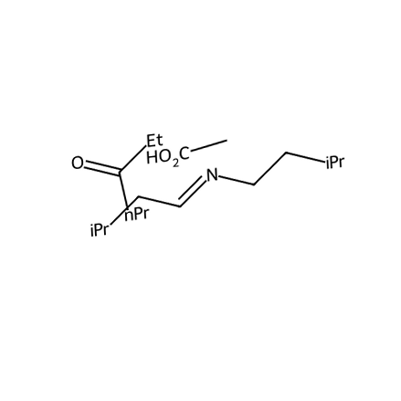 CC(=O)O.CC(C)CC=NCCC(C)C.CCCC(=O)CC